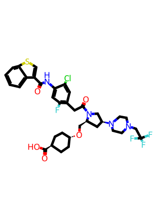 O=C(Nc1cc(F)c(CC(=O)N2C[C@@H](N3CCN(CC(F)(F)F)CC3)C[C@H]2CO[C@H]2CC[C@H](C(=O)O)CC2)cc1Cl)c1csc2ccccc12